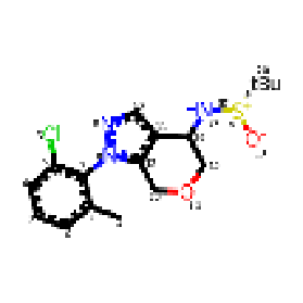 Cc1cccc(Cl)c1-n1ncc2c1COCC2N[S@@+]([O-])C(C)(C)C